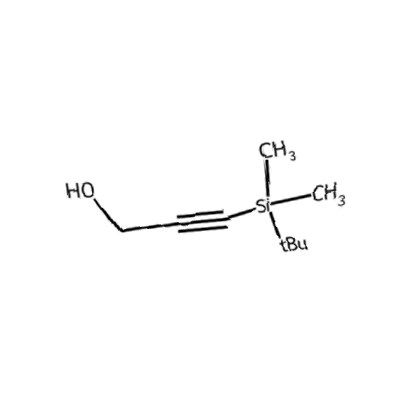 CC(C)(C)[Si](C)(C)C#CCO